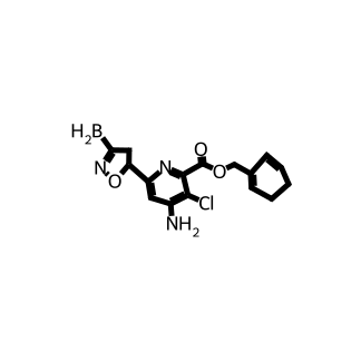 BC1=NOC(c2cc(N)c(Cl)c(C(=O)OCC3=CCCC=C3)n2)C1